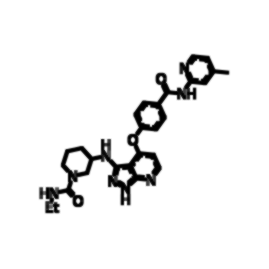 CCNC(=O)N1CCCC(Nc2n[nH]c3nccc(Oc4ccc(C(=O)Nc5cc(C)ccn5)cc4)c23)C1